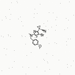 COc1ccc(CN(C)c2nc(C3(C#N)CC3)c(Br)s2)cc1